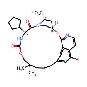 CC1(C)CCCc2cc(I)c3ccnc(c3c2)O[C@@H]2C[C@@H](C(=O)O)N(C2)C(=O)[C@H](C2CCCC2)NC(=O)OC1